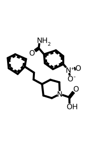 NC(=O)c1ccc([N+](=O)[O-])cc1.O=C(O)N1CCC(CCc2ccccc2)CC1